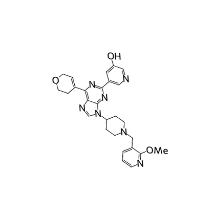 COc1ncccc1CN1CCC(n2cnc3c(C4=CCOCC4)nc(-c4cncc(O)c4)nc32)CC1